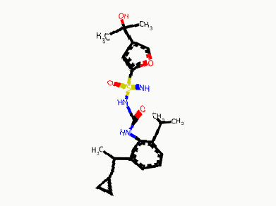 CC(C)c1cccc(C(C)C2CC2)c1NC(=O)NS(=N)(=O)c1cc(C(C)(C)O)co1